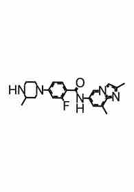 Cc1cn2cc(NC(=O)c3ccc(N4CCNC(C)C4)cc3F)cc(C)c2n1